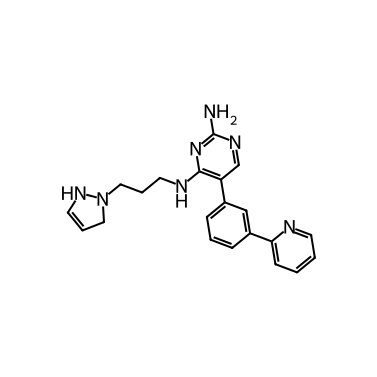 Nc1ncc(-c2cccc(-c3ccccn3)c2)c(NCCCN2CC=CN2)n1